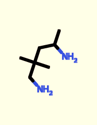 CC(N)CC(C)(C)CN